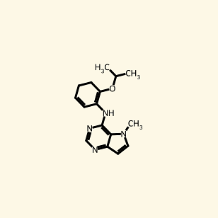 CC(C)OC1=C(Nc2ncnc3ccn(C)c23)C=CCC1